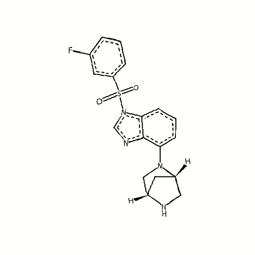 O=S(=O)(c1cccc(F)c1)n1cnc2c(N3C[C@@H]4C[C@H]3CN4)cccc21